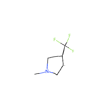 CN1C[CH]C(C(F)(F)F)C1